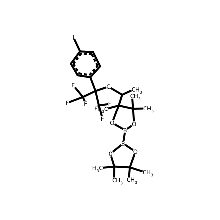 CC(OC(c1ccc(I)cc1)(C(F)(F)F)C(F)(F)F)C1(C)OB(B2OC(C)(C)C(C)(C)O2)OC1(C)C